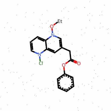 CCON1C=C(CC(=O)Oc2ccccc2)C=C2C1=CC=CN2Cl